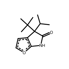 CC(C)C1(C(C)(C)C)C(=O)Nc2occc21